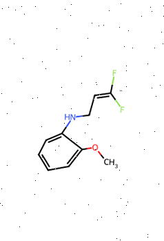 COc1ccccc1NCC=C(F)F